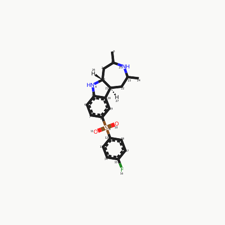 CC1C[C@H]2Nc3ccc(S(=O)(=O)c4ccc(F)cc4)cc3[C@@H]2CC(C)N1